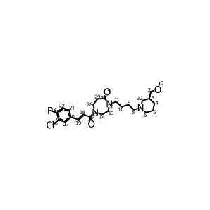 COCC1CCCN(CCCCN2CCN(C(=O)/C=C/c3ccc(F)c(Cl)c3)CCC2=O)C1